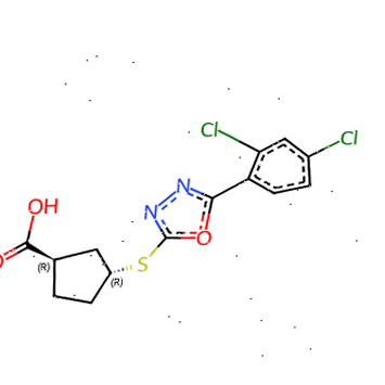 O=C(O)[C@@H]1CC[C@@H](Sc2nnc(-c3ccc(Cl)cc3Cl)o2)C1